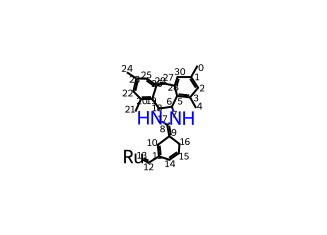 Cc1cc(C)c(C2NC(=C3C=C([CH]=[Ru])C=CC3)NC2c2c(C)cc(C)cc2C)c(C)c1